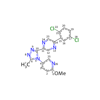 COc1ccc(-n2c(C)nnc2-c2cnc(-c3cc(Cl)ccc3Cl)cn2)cn1